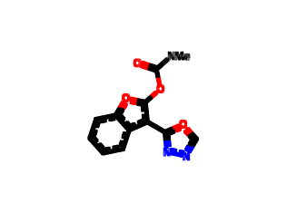 CNC(=O)Oc1oc2ccccc2c1-c1nnco1